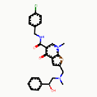 CN(Cc1cc2c(=O)c(C(=O)NCc3ccc(Cl)cc3)cn(C)c2s1)C[C@@H](O)c1ccccc1